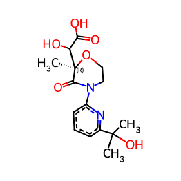 CC(C)(O)c1cccc(N2CCO[C@](C)(C(O)C(=O)O)C2=O)n1